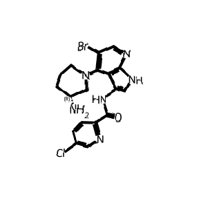 N[C@@H]1CCCN(c2c(Br)cnc3[nH]cc(NC(=O)c4ccc(Cl)cn4)c23)C1